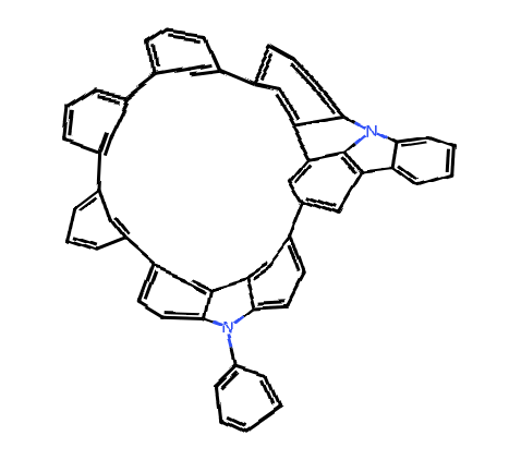 c1ccc(-n2c3ccc4cc3c3cc(ccc32)c2cc3c5ccccc5n5c6ccc(cc6c(c2)c35)c2cccc(c2)c2cccc(c2)c2cccc4c2)cc1